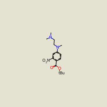 CN(C)CCN(C)c1ccc(C(=O)OC(C)(C)C)c([N+](=O)[O-])c1